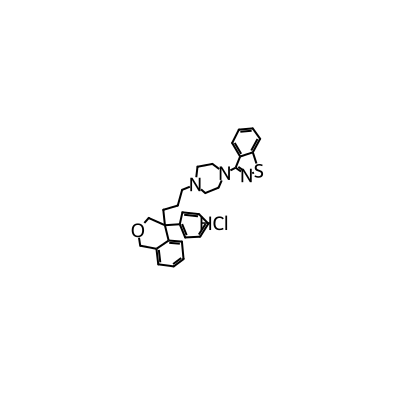 Cl.c1ccc(C2(CCCN3CCN(c4nsc5ccccc45)CC3)COCc3ccccc32)cc1